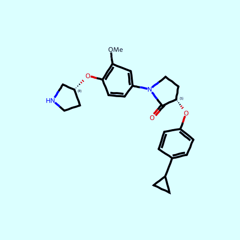 COc1cc(N2CC[C@H](Oc3ccc(C4CC4)cc3)C2=O)ccc1O[C@@H]1CCNC1